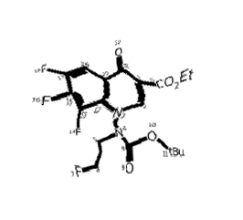 CCOC(=O)c1cn(N(CCF)C(=O)OC(C)(C)C)c2c(F)c(F)c(F)cc2c1=O